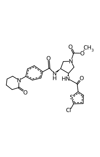 COC(=O)N1C[C@H](NC(=O)c2ccc(N3CCCCC3=O)cc2)[C@H](NC(=O)c2ccc(Cl)s2)C1